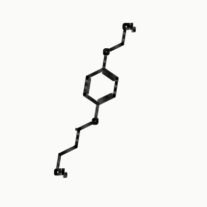 CCC[CH]Oc1ccc(OCC)cc1